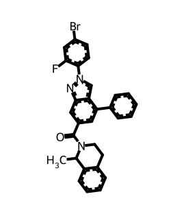 CC1c2ccccc2CCN1C(=O)c1cc(-c2ccccc2)c2cn(-c3ccc(Br)cc3F)nc2c1